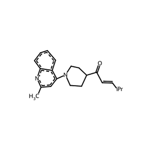 Cc1cc(N2CCC(C(=O)/C=C/C(C)C)CC2)c2ccccc2n1